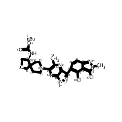 CCCCOC(=O)N[C@@H]1COCC12CCN(c1nc3[nH]nc(-c4ccc5nn(C)c(Cl)c5c4Cl)c3nc1C)CC2